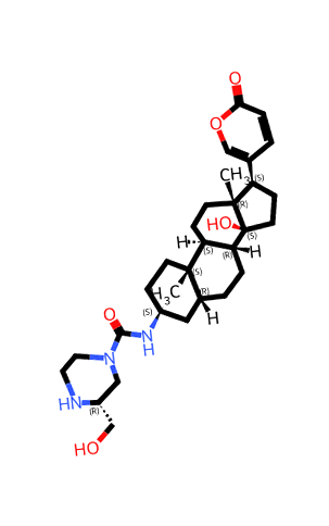 C[C@]12CC[C@H](NC(=O)N3CCN[C@@H](CO)C3)C[C@H]1CC[C@@H]1[C@@H]2CC[C@]2(C)[C@@H](c3ccc(=O)oc3)CC[C@]12O